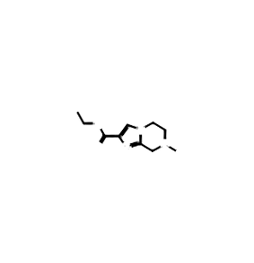 CCOC(=O)c1cn2c(n1)CN(C)CC2